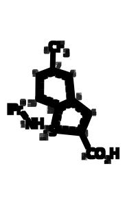 CC(C)N.O=C(O)c1cc2cc(C(F)(F)F)ccc2s1